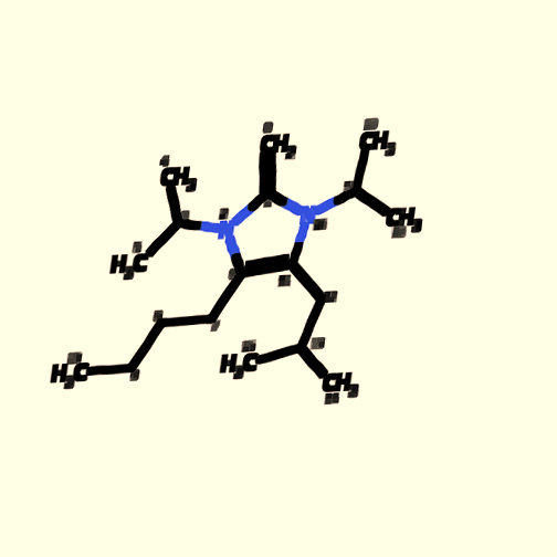 C=C1N(C(C)C)C(CCCC)=C(CC(C)C)N1C(C)C